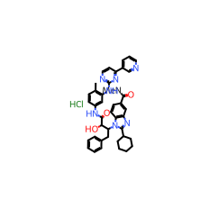 CNC(=O)c1ccc2c(c1)nc(C1CCCCC1)n2C(Cc1ccccc1)C(O)C(=O)Nc1ccc(C)c(Nc2nccc(-c3cccnc3)n2)c1.Cl